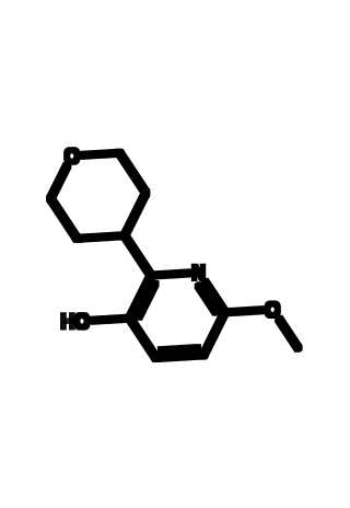 COc1ccc(O)c(C2CCOCC2)n1